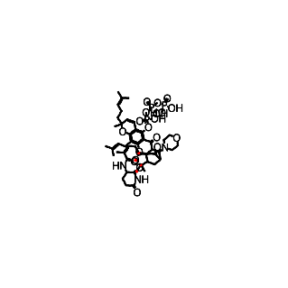 CC(C)=CCCC1(C)C=Cc2c(c(CC=C(C)C)c3c(c2OP(=O)(O)OP(=O)(O)OP(=O)(O)O)C(=O)C2C(N4CCOCC4)C4CC5C(C)(C)OC(C/C=C(/C)C(=O)NC6CCC(=O)NC6=O)(C4=O)C25O3)O1